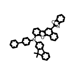 CC1(C)c2ccccc2-c2ccc(N(c3ccc(-c4ccccc4)cc3)c3cccc4c3oc3c5ccccc5c(-c5nc6ccccc6o5)cc43)cc21